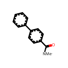 C[N]C(=O)c1ccc(-c2ccccc2)cc1